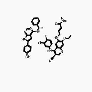 CCOc1cc2ncc(C#N)c(Nc3ccc(F)c(Cl)c3)c2cc1NCC=CC(=O)N(C)C.C[C@@H](Nc1ncnc2[nH]c(-c3ccc(O)cc3)cc12)c1ccccc1